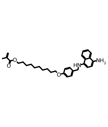 C=C(C)C(=O)OCCCCCCCCCCOc1ccc(CNc2ccc(N)c3ccccc23)cc1